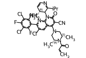 C=CC(=O)N1[C@H](C)CN(c2c(C#N)c(=O)n(C3C(C(C)C)=NC=C[C@H]3C)c3nc(-c4c(N)c(Cl)c(F)c(Cl)c4F)c(Cl)cc23)C[C@@H]1C